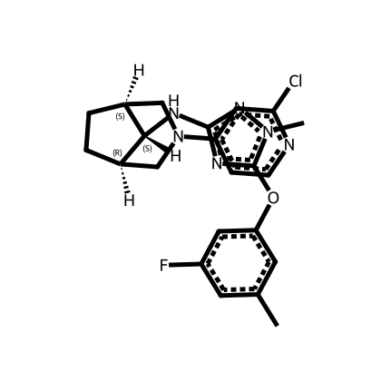 Cc1cc(F)cc(Oc2nc(N[C@@H]3[C@@H]4CC[C@H]3CN(c3ccnc(Cl)c3)C4)nn2C)c1